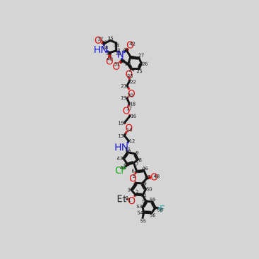 CCOc1cc2oc(-c3ccc(NCCOCCOCCOCCOc4cccc5c4C(=O)N(C4CCC(=O)NC4=O)C5=O)cc3Cl)cc(=O)c2cc1-c1cc(C)cc(F)c1